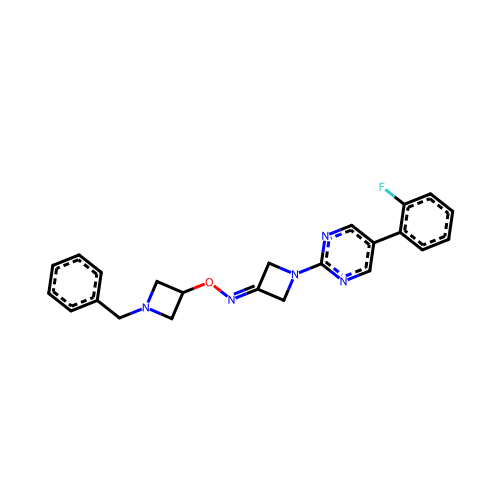 Fc1ccccc1-c1cnc(N2CC(=NOC3CN(Cc4ccccc4)C3)C2)nc1